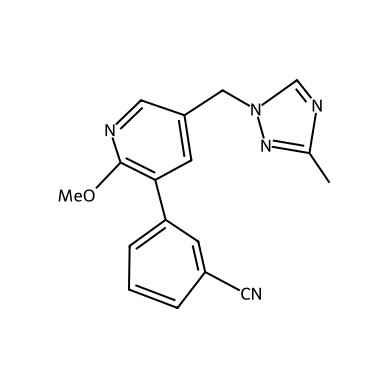 COc1ncc(Cn2cnc(C)n2)cc1-c1cccc(C#N)c1